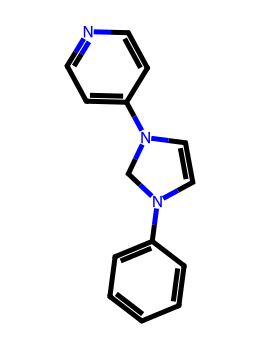 C1=CN(c2ccncc2)CN1c1ccccc1